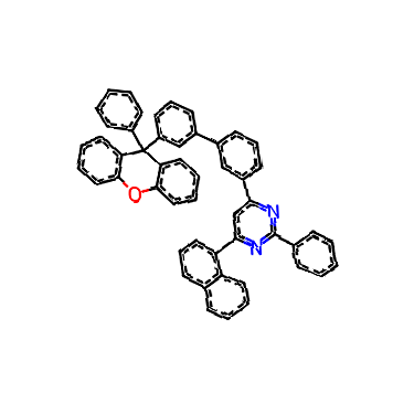 c1ccc(-c2nc(-c3cccc(-c4cccc(C5(c6ccccc6)c6ccccc6Oc6ccccc65)c4)c3)cc(-c3cccc4ccccc34)n2)cc1